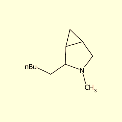 CCCCCC1C2CC2CN1C